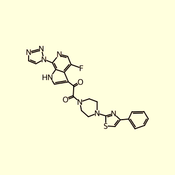 O=C(C(=O)N1CCN(c2nc(-c3ccccc3)cs2)CC1)c1c[nH]c2c(-n3ccnn3)ncc(F)c12